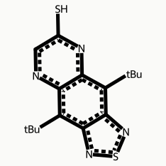 CC(C)(C)c1c2ncc(S)nc2c(C(C)(C)C)c2nsnc12